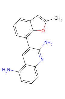 Cc1cc2cccc(-c3cc4c(N)cccc4nc3N)c2o1